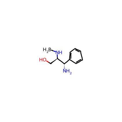 BN[C@H](CO)[C@@H](N)c1ccccc1